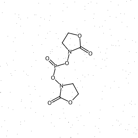 O=C1OCCN1O[P](=O)ON1CCOC1=O